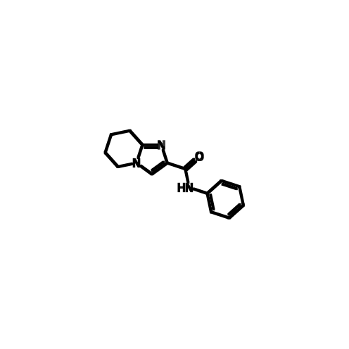 O=C(Nc1ccccc1)c1cn2c(n1)CCCC2